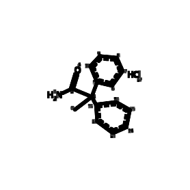 CC(C(N)=O)(c1ccccc1)c1ccccc1.Cl